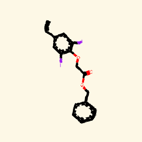 C=Cc1cc(I)c(OCC(=O)OCc2ccccc2)c(I)c1